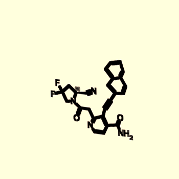 N#C[C@@H]1CC(F)(F)CN1C(=O)Cc1nccc(C(N)=O)c1C#Cc1ccc2ccccc2c1